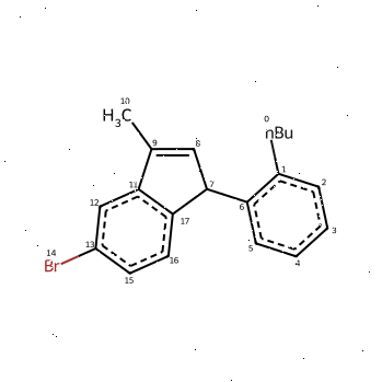 CCCCc1ccccc1C1C=C(C)c2cc(Br)ccc21